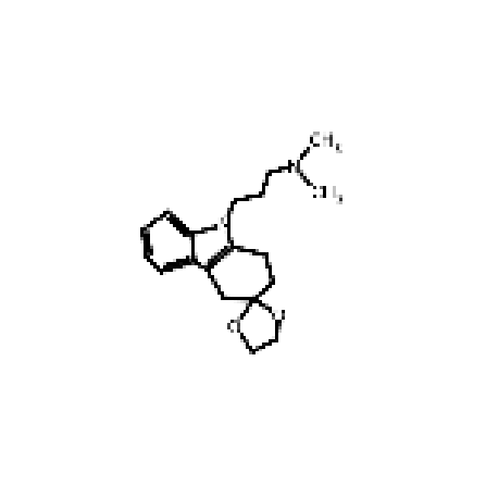 CN(C)CCCn1c2c(c3ccccc31)CC1(CC2)OCCO1